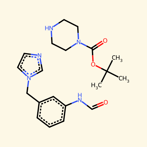 CC(C)(C)OC(=O)N1CCNCC1.O=CNc1cccc(Cn2ccnc2)c1